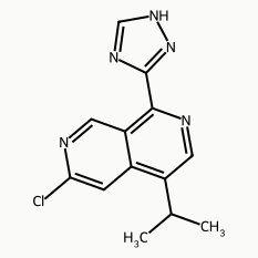 CC(C)c1cnc(-c2nc[nH]n2)c2cnc(Cl)cc12